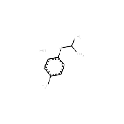 Cc1cc[c]([Al][CH](C)C)cc1.Cl